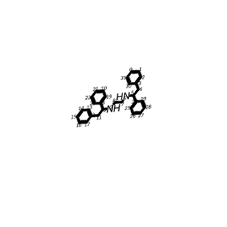 c1ccc(CC(NCCNC(Cc2ccccc2)c2ccccc2)c2ccccc2)cc1